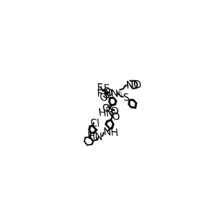 O=C(NS(=O)(=O)c1ccc(N[C@H](CCCN2CCOCC2)CSc2ccccc2)c(S(=O)(=O)C(F)(F)F)c1)c1ccc(NCCNCC2=C(c3ccc(Cl)cc3)CCCC2)cc1